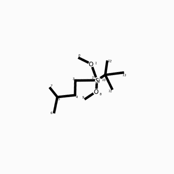 CO[Si](CCC(C)C)(OC)C(C)(C)C